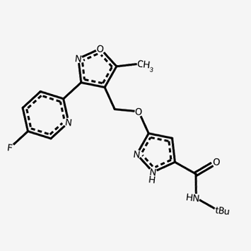 Cc1onc(-c2ccc(F)cn2)c1COc1cc(C(=O)NC(C)(C)C)[nH]n1